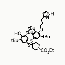 CCOC(=O)N1CCC(Sc2cc(C(C)(C)C)c(O)c(C(C)(C)C)c2)(Sc2cc(C(C)(C)C)c(OCCCc3cc[nH]n3)c(C(C)(C)C)c2)CC1